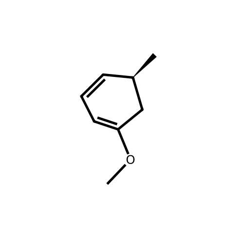 COC1=CC=C[C@@H](C)C1